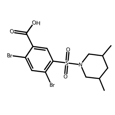 CC1CC(C)CN(S(=O)(=O)c2cc(C(=O)O)c(Br)cc2Br)C1